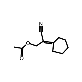 CC(=O)OCC(C#N)=C1CCCCC1